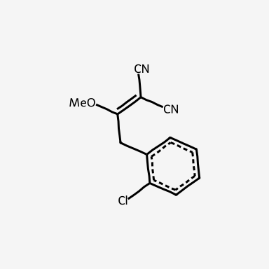 COC(Cc1ccccc1Cl)=C(C#N)C#N